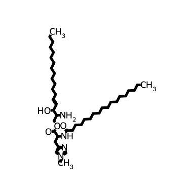 CCCCCCCCCCCCC/C=C/C(O)C(N)COC(=O)C(Cc1cn(C)cn1)NC(=O)CCCCCCCCCCCCCCCCC